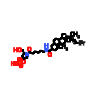 CC(C)CCC[C@@H](C)[C@H]1CCC2C3CC=C4CC(C(=O)NCCCCCC(=O)N5CC(OP(=O)(O)O)C[C@H]5CO)CC[C@]4(C)C3CC[C@@]21C